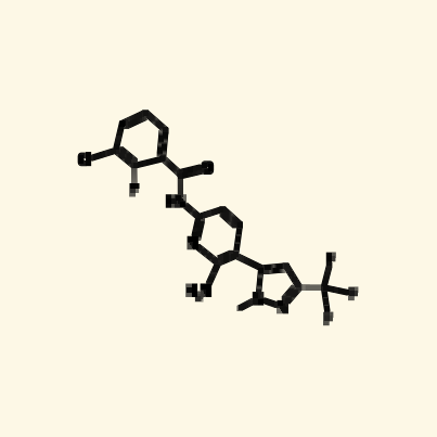 Cn1nc(C(F)(F)F)cc1-c1ccc(NC(=O)c2cccc(Cl)c2F)nc1N